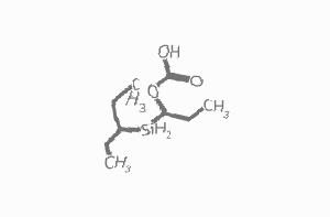 CCC(CC)[SiH2]C(CC)OC(=O)O